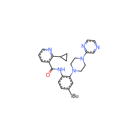 CCC(C)c1ccc(NC(=O)c2cccnc2C2CC2)c(N2CCN(c3cnccn3)CC2)c1